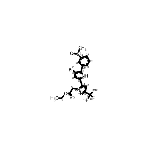 CCOC(=O)Cn1nc(C(F)(F)F)cc1-c1cc(Br)c(-c2cccc([S+](C)[O-])c2)[nH]1